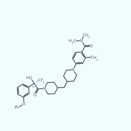 Cc1cc(N2CCC(CC3CCN(C(=O)[C@](O)(c4cccc(OC(C)C)c4)C(F)(F)F)CC3)CC2)ccc1C(=O)N(C)C